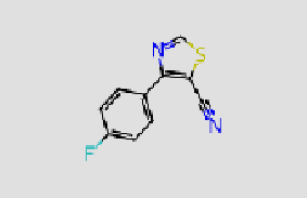 N#Cc1scnc1-c1ccc(F)cc1